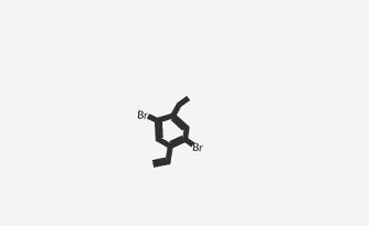 C=Cc1cc(Br)c(CC)cc1Br